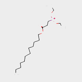 CCCCCCCCCCCCOC(=O)CCP(=O)(OCC)OCC